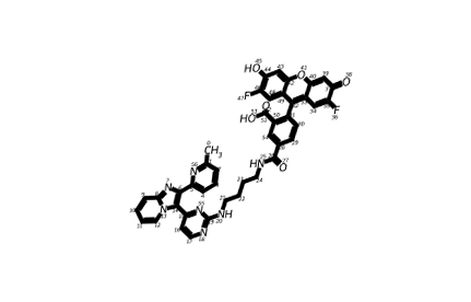 Cc1cccc(-c2nc3ccccn3c2-c2ccnc(NCCCCNC(=O)c3ccc(-c4c5cc(F)c(=O)cc-5oc5cc(O)c(F)cc45)c(C(=O)O)c3)n2)n1